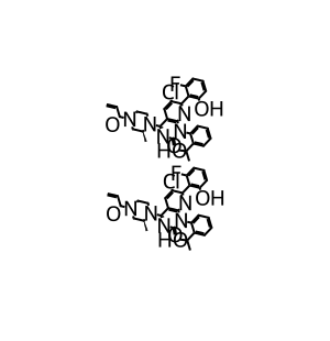 C=CC(=O)N1CCN(c2nc(=O)n(-c3ccccc3C(C)O)c3nc(-c4c(O)cccc4F)c(Cl)cc23)[C@@H](C)C1.C=CC(=O)N1CCN(c2nc(=O)n(-c3ccccc3C(C)O)c3nc(-c4c(O)cccc4F)c(Cl)cc23)[C@@H](C)C1